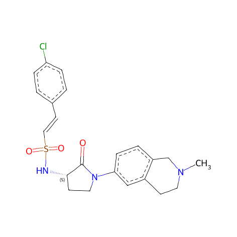 CN1CCc2cc(N3CC[C@H](NS(=O)(=O)C=Cc4ccc(Cl)cc4)C3=O)ccc2C1